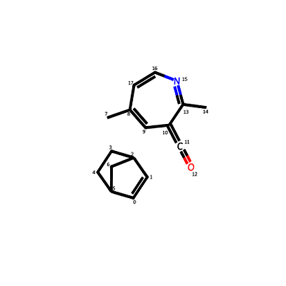 C1=CC2CCC1C2.CC1=CC(=C=O)C(C)=NC=C1